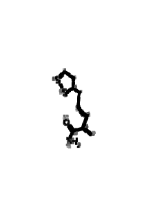 CC(CCCC1CCSS1)C(N)=O